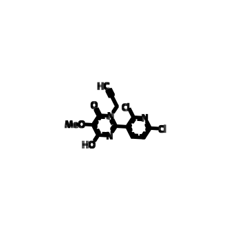 C#CCn1c(-c2ccc(Cl)nc2Cl)nc(O)c(OC)c1=O